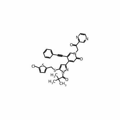 CC(C)(C)C(=O)n1nc(-c2cc(=O)n(CC(=O)c3cnccn3)cc2C#Cc2ccccc2)cc1SCc1ccc(Cl)s1